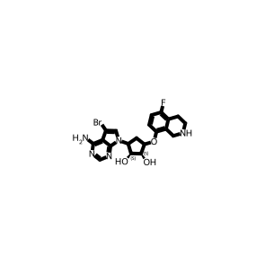 Nc1ncnc2c1c(Br)cn2C1CC(Oc2ccc(F)c3c2CNCC3)[C@@H](O)[C@H]1O